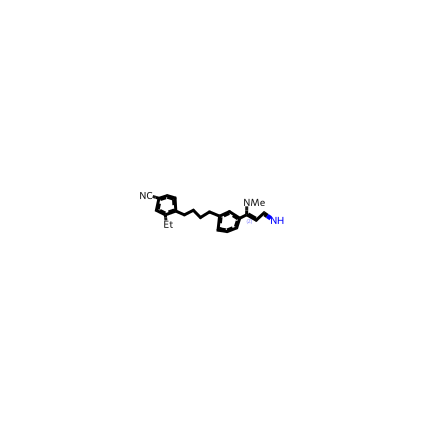 CCc1cc(C#N)ccc1CCCCc1cccc(/C(=C/C=N)NC)c1